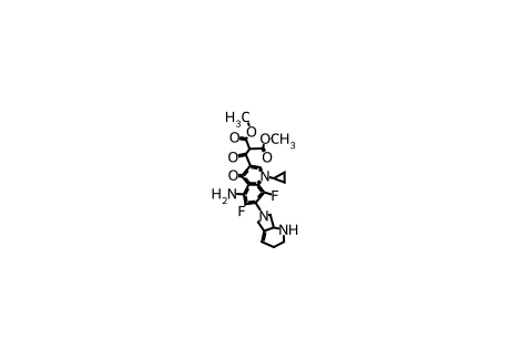 COC(=O)C(C(=O)OC)C(=O)c1cn(C2CC2)c2c(F)c(N3CC4=CCCNC4C3)c(F)c(N)c2c1=O